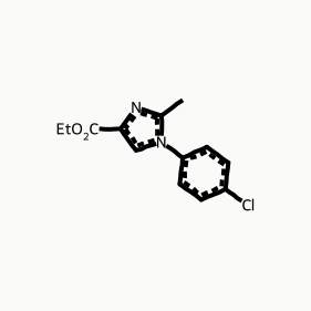 CCOC(=O)c1cn(-c2ccc(Cl)cc2)c(C)n1